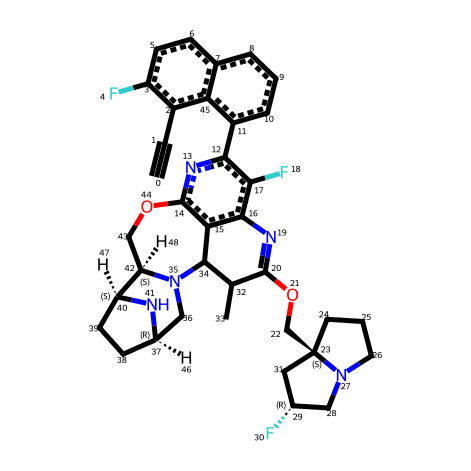 C#Cc1c(F)ccc2cccc(-c3nc4c5c(c3F)N=C(OC[C@@]36CCCN3C[C@H](F)C6)C(C)C5N3C[C@H]5CC[C@H](N5)[C@H]3CO4)c12